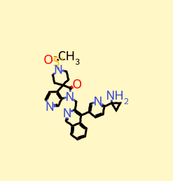 C[S+]([O-])N1CCC2(CC1)C(=O)N(Cc1ncc3ccccc3c1-c1ccc(C3(N)CC3)nc1)c1cnccc12